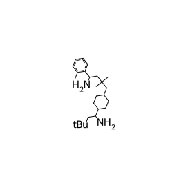 Cc1ccccc1C(N)CC(C)(C)CC1CCC(C(N)CC(C)(C)C)CC1